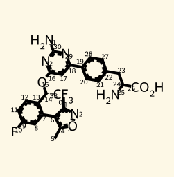 Cc1noc(C)c1-c1cc(F)ccc1[C@H](Oc1cc(-c2ccc(CC(N)C(=O)O)cc2)nc(N)n1)C(F)(F)F